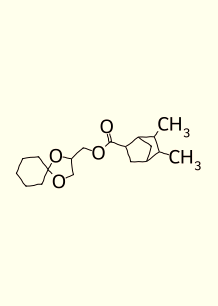 CC1C2CC(C(=O)OCC3COC4(CCCCC4)O3)C(C2)C1C